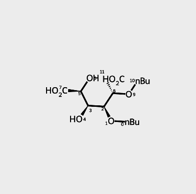 CCCCO[C@@H]([C@@H](O)[C@H](O)C(=O)O)[C@@H](OCCCC)C(=O)O